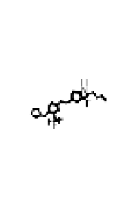 C=CCCc1[nH]c2ccc(CCc3ccc(CC4CCCC4)c(C(F)(F)F)c3)cc2c1F